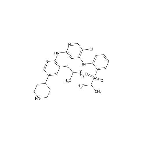 CC(C)Oc1cc(C2CCNCC2)cnc1Nc1cc(Nc2ccccc2S(=O)(=O)C(C)C)c(Cl)cn1